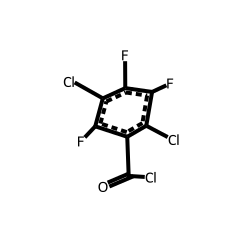 O=C(Cl)c1c(F)c(Cl)c(F)c(F)c1Cl